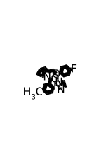 Cc1ccc(-n2nccn2)c(C(=O)N2C(COc3ccc(F)cc3)CC3CC2C3)c1